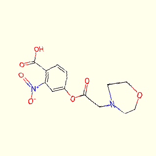 O=C(CN1CCOCC1)Oc1ccc(C(=O)O)c([N+](=O)[O-])c1